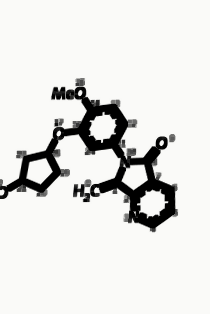 C=C1c2ncccc2C(=O)N1c1ccc(OC)c(OC2CCC(O)C2)c1